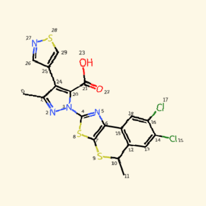 Cc1nn(-c2nc3c(s2)SC(C)c2cc(Cl)c(Cl)cc2-3)c(C(=O)O)c1-c1cnsc1